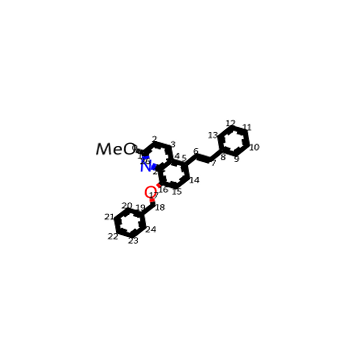 COc1ccc2c(/C=C/c3ccccc3)ccc(OCc3ccccc3)c2n1